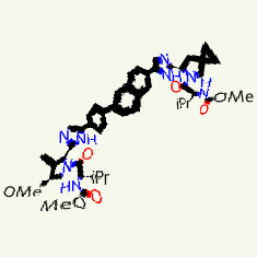 C=C1[C@H](COC)CN(C(=O)[C@@H](NC(=O)OC)C(C)C)[C@@H]1c1ncc(-c2ccc(-c3ccc4cc(-c5cnc([C@@H]6CC7(CC7)CN6C(=O)[C@@H](NC(=O)OC)C(C)C)[nH]5)ccc4c3)cc2)[nH]1